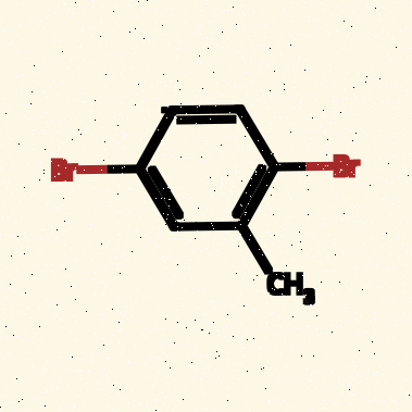 Cc1cc(Br)[c]cc1Br